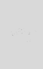 C=Cc1nn(C2CCCCO2)c2cnc(-c3c(C)nn(C)c3O[C@@H](C)CN(CC)Cc3c(I)c(OCC#N)nn3CCO[Si](C)(C)C(C)(C)C)cc12